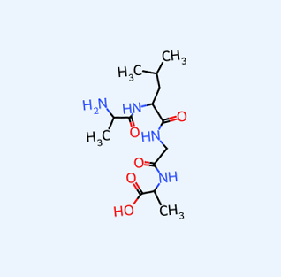 CC(C)CC(NC(=O)C(C)N)C(=O)NCC(=O)NC(C)C(=O)O